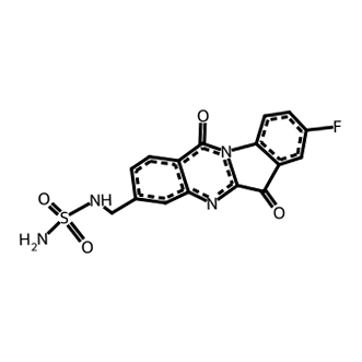 NS(=O)(=O)NCc1ccc2c(=O)n3c(nc2c1)C(=O)c1cc(F)ccc1-3